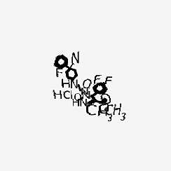 COC(=O)C1=C(C)NC(=O)N(N(C=O)CCN[C@H]2CC[C@@](C#N)(c3ccccc3F)CC2)C1c1ccc(F)c(F)c1.Cl